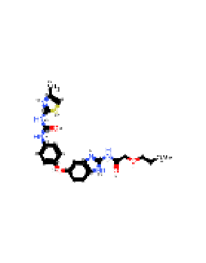 COCCOCC(=O)Nc1nc2cc(Oc3ccc(NC(=O)Nc4nc(C)cs4)cc3)ccc2[nH]1